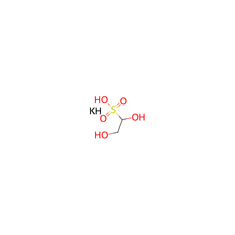 O=S(=O)(O)C(O)CO.[KH]